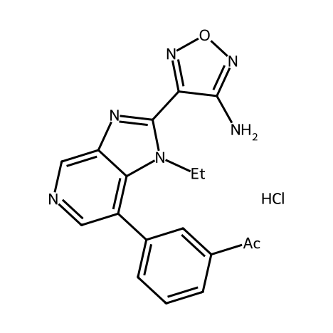 CCn1c(-c2nonc2N)nc2cncc(-c3cccc(C(C)=O)c3)c21.Cl